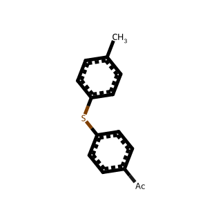 CC(=O)c1ccc(Sc2ccc(C)cc2)cc1